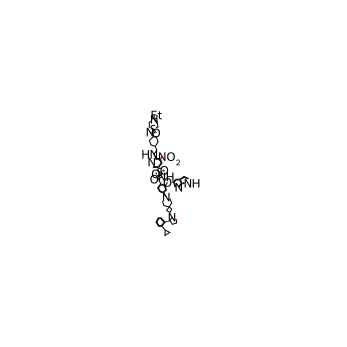 CCN1CCS(=O)(=NC2CCC(CNc3ncc(S(=O)(=O)NC(=O)c4ccc(N5CCC6(CC5)CC(N5CCC[C@H]5c5ccccc5C5CC5)C6)cc4Oc4cnc5[nH]ccc5c4)cc3[N+](=O)[O-])CC2)CC1